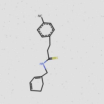 N#Cc1ccc(CCC(=S)NCC2=CC=CCC2)cc1